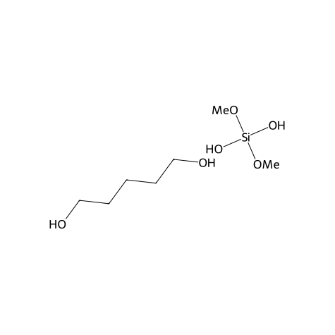 CO[Si](O)(O)OC.OCCCCCO